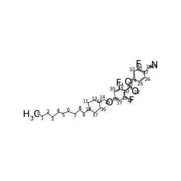 CCCCCCCCCCC1CCC(COc2cc(F)c(C(=O)Oc3ccc(C#N)c(F)c3)c(F)c2)CC1